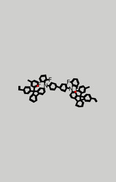 C=Cc1ccc(C2(c3cc(C)ccc3C)c3ccccc3-c3ccc(N(c4ccc(-c5ccc(N(c6ccc7c(c6)C(c6ccc(C=C)cc6)(c6cc(C)ccc6C)C6(C)C=CC=CC76)c6c(F)cccc6F)cc5)cc4)c4c(F)cccc4F)cc32)cc1